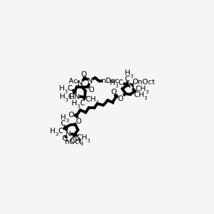 CCCCCCCCCCCCN1C(=O)N(C(C)=O)C2(CC(C)(C)NC(C)(C)C2)C1=O.CCCCCCCCON1C(C)(C)CC(OC(=O)CCCCCCCCC(=O)OC2CC(C)(C)N(OCCCCCCCC)C(C)(C)C2)CC1(C)C